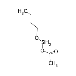 CCCCO[SiH2]OC(C)=O